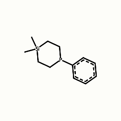 C[Si]1(C)CCP(c2ccccc2)CC1